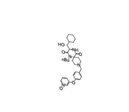 CCCCN1C(=O)[C@@H]([C@H](O)C2CCCCC2)NC(=O)C12CCN(Cc1ccc(Oc3ccc[n+]([O-])c3)cc1)CC2